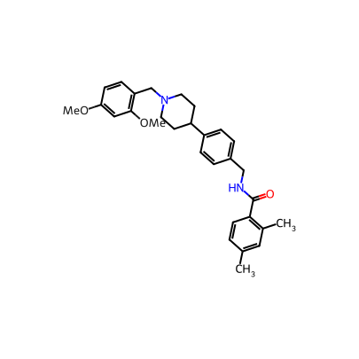 COc1ccc(CN2CCC(c3ccc(CNC(=O)c4ccc(C)cc4C)cc3)CC2)c(OC)c1